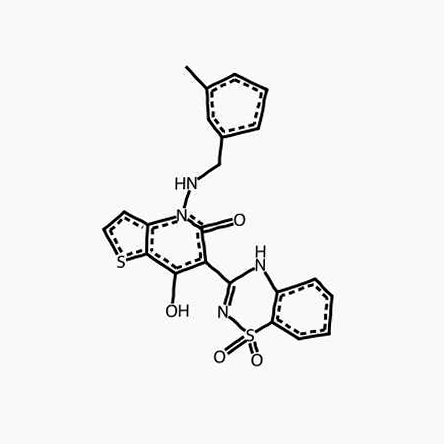 Cc1cccc(CNn2c(=O)c(C3=NS(=O)(=O)c4ccccc4N3)c(O)c3sccc32)c1